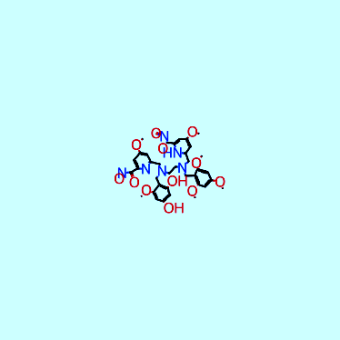 COC1=CC(CN(CCN(Cc2cc(OC)cc(C(=O)N=O)n2)Cc2c(O)cc(O)cc2OC)Cc2c(OC)cc(OC)cc2OC)NC(C(=O)N=O)=C1